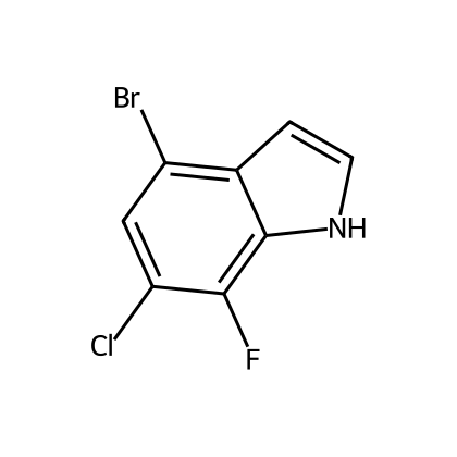 Fc1c(Cl)cc(Br)c2cc[nH]c12